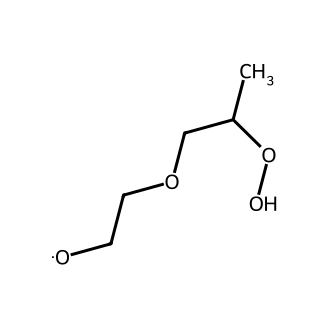 CC(COCC[O])OO